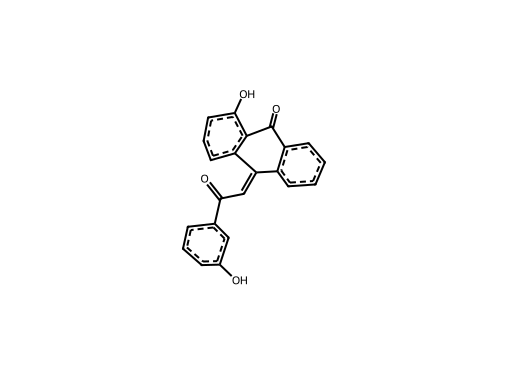 O=C(C=C1c2ccccc2C(=O)c2c(O)cccc21)c1cccc(O)c1